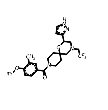 Cc1cc(C(=O)N2CCC3(CC2)CN(CC(F)(F)F)CC(c2cc[nH]n2)O3)ccc1OC(C)C